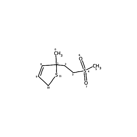 CC1(CCS(C)(=O)=O)C=CCS1